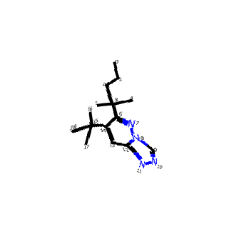 CCCC(C)(C)c1nn2cnnc2cc1C(C)(C)C